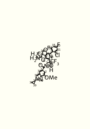 COc1cc(C(=O)NCC(O)(c2cc3c(c(-c4c(F)cc(F)cc4Cl)n2)OC[C@]3(C)C(N)=O)C(F)(F)F)cc2cn(C3CC3)nc12